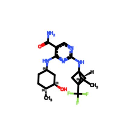 C[C@@H]1CC[C@@H](Nc2nc(NC34CC(C(F)(F)F)(C3)[C@@H]4C)ncc2C(N)=O)C[C@H]1O